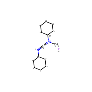 C[N+](=C=NC1CCCCC1)C1CCCCC1.[I-]